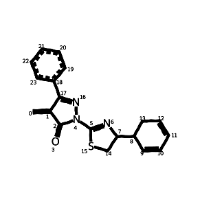 C=C1C(=O)N(C2=NC(C3C=CC=CC3)CS2)N=C1c1ccccc1